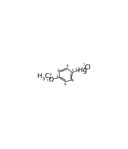 COc1cc[c]([Hg][Cl])cc1